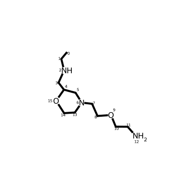 CCNCC1CN(CCOCCN)CCO1